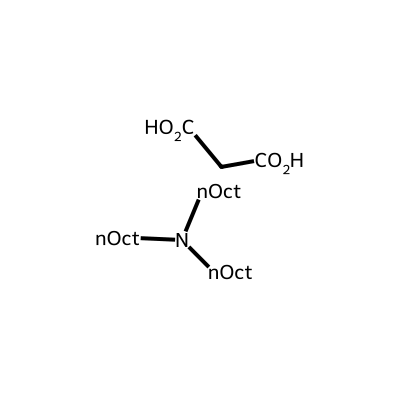 CCCCCCCCN(CCCCCCCC)CCCCCCCC.O=C(O)CC(=O)O